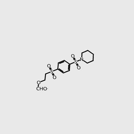 O=[C]OCCS(=O)(=O)c1ccc(S(=O)(=O)N2CCCCC2)cc1